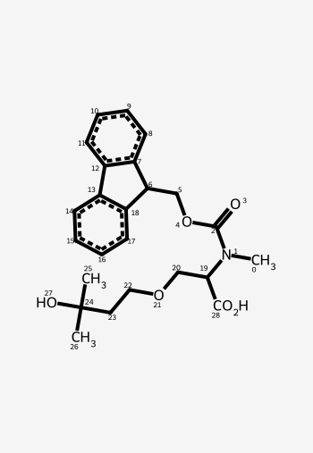 CN(C(=O)OCC1c2ccccc2-c2ccccc21)C(COCCC(C)(C)O)C(=O)O